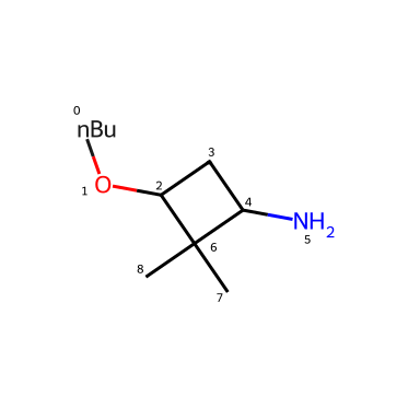 CCCCOC1CC(N)C1(C)C